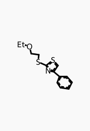 CCOCCSc1nc(-c2ccccc2)cs1